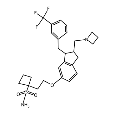 NS(=O)(=O)C1(CCOc2ccc3c(c2)C(Cc2cccc(C(F)(F)F)c2)C(CN2CCC2)C3)CCC1